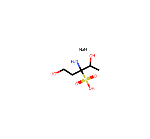 CC(O)C(N)(CCO)S(=O)(=O)O.[NaH]